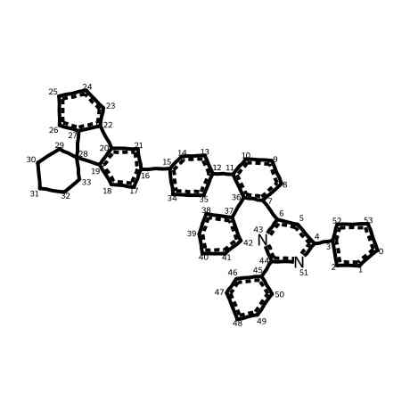 c1ccc(-c2cc(-c3cccc(-c4ccc(-c5ccc6c(c5)-c5ccccc5C65CCCCC5)cc4)c3-c3ccccc3)nc(-c3ccccc3)n2)cc1